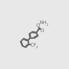 NOC(=O)c1ccc(-c2ccccc2C(F)(F)F)cc1